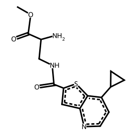 COC(=O)C(N)CNC(=O)c1cc2nccc(C3CC3)c2s1